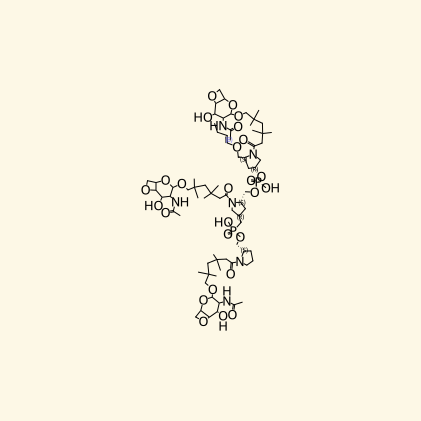 CC/C=C/OC[C@@H]1C[C@@H](OP(=O)(O)OC[C@@H]2C[C@@H](CP(=O)(O)OC[C@@H]3CCCN3C(=O)CC(C)(C)CC(C)(C)COC3OC4COC4C(O)C3NC(C)=O)CN2C(=O)CC(C)(C)CC(C)(C)COC2OC3COC3C(O)C2NC(C)=O)CN1C(=O)CC(C)(C)CC(C)(C)COC1OC2COC2C(O)C1NC(C)=O